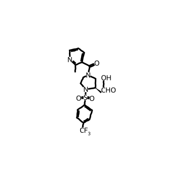 Cc1ncccc1C(=O)N1CCN(S(=O)(=O)c2ccc(C(F)(F)F)cc2)[C@H](C)C1.O=CO